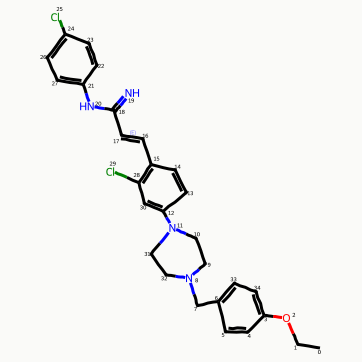 CCOc1ccc(CN2CCN(c3ccc(/C=C/C(=N)Nc4ccc(Cl)cc4)c(Cl)c3)CC2)cc1